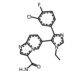 CCn1cnc(-c2ccc(F)c(Cl)c2)c1-c1ccc2ncc(C(N)=O)n2c1